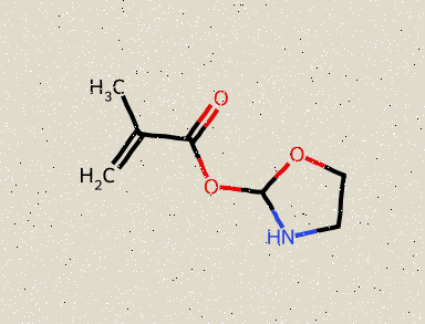 C=C(C)C(=O)OC1NCCO1